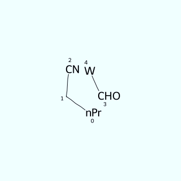 CCCCC#N.O=[CH][W]